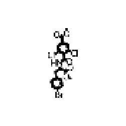 COC(=O)c1cc(Cl)c(C(=O)NC(Cc2ccc(Br)cc2)C(=O)OC)c(Cl)c1